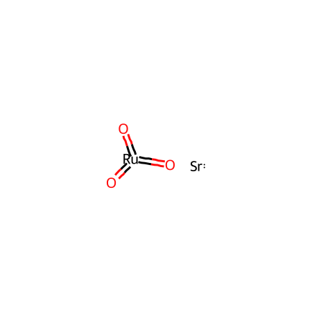 [O]=[Ru](=[O])=[O].[Sr]